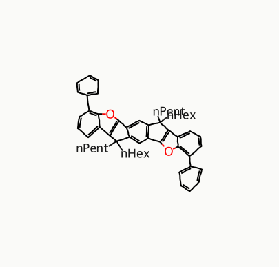 CCCCCCC1(CCCCC)c2cc3c(cc2-c2oc4c(-c5ccccc5)cccc4c21)C(CCCCC)(CCCCCC)c1c-3oc2c(-c3ccccc3)cccc12